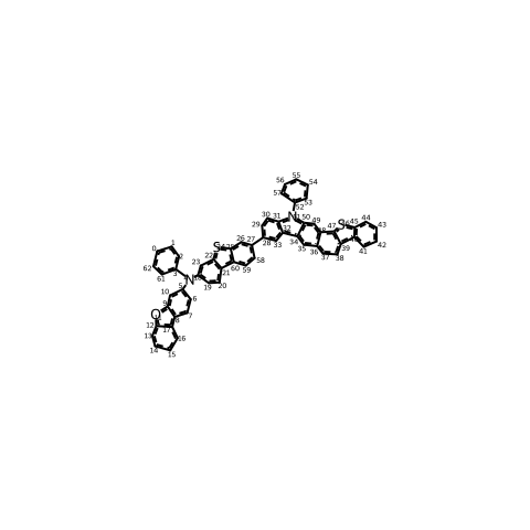 c1ccc(N(c2ccc3c(c2)oc2ccccc23)c2ccc3c(c2)sc2cc(-c4ccc5c(c4)c4cc6ccc7c8ccccc8sc7c6cc4n5-c4ccccc4)ccc23)cc1